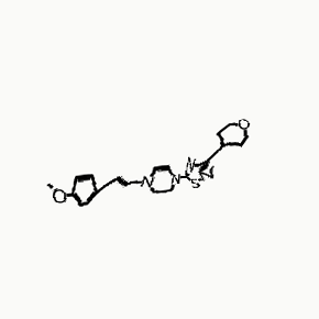 COc1ccc(CCN2CCN(c3nc(C4CCOCC4)ns3)CC2)cc1